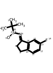 CC(C)(C)[S@+]([O-])N=C1CCc2ccc(F)cc21